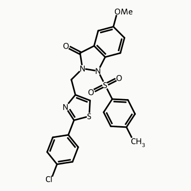 COc1ccc2c(c1)c(=O)n(Cc1csc(-c3ccc(Cl)cc3)n1)n2S(=O)(=O)c1ccc(C)cc1